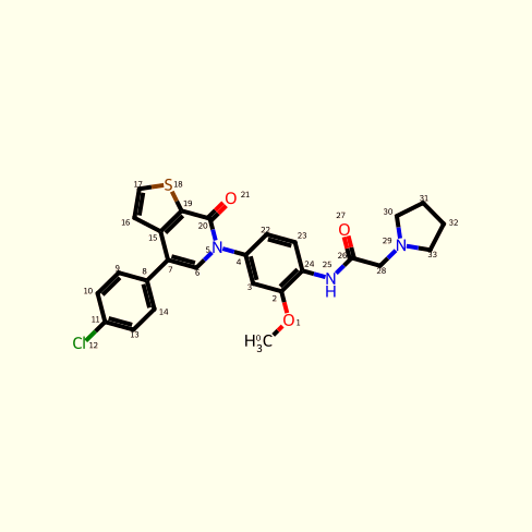 COc1cc(-n2cc(-c3ccc(Cl)cc3)c3ccsc3c2=O)ccc1NC(=O)CN1CCCC1